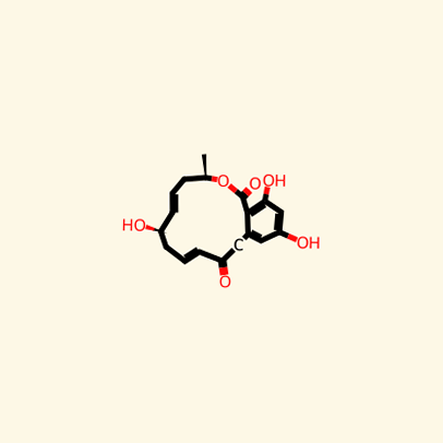 C[C@@H]1C/C=C/[C@H](O)C/C=C/C(=O)Cc2cc(O)cc(O)c2C(=O)O1